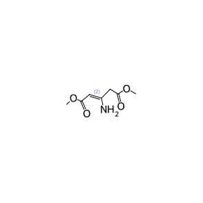 COC(=O)/C=C(\N)CC(=O)OC